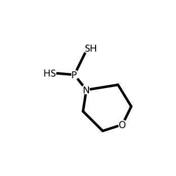 SP(S)N1CCOCC1